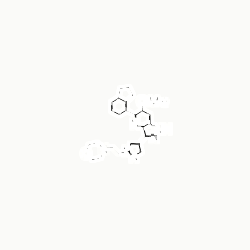 COc1cc2[nH]nc(-c3cnn(CCN4CCOCC4)c3)c2nc1-c1cccc2c1CCC2